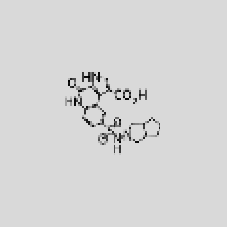 O=C(O)c1c[nH]c2c(=O)[nH]c3ccc(S(=O)(=O)NN4CC5CCCC5C4)cc3c12